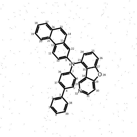 c1ccc(-c2ccc(N(c3ccc4c(ccc5ccccc54)c3)c3cccc4oc5ccncc5c34)cc2)cc1